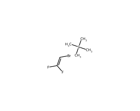 C[Si](C)(C)C.FC(F)=CBr